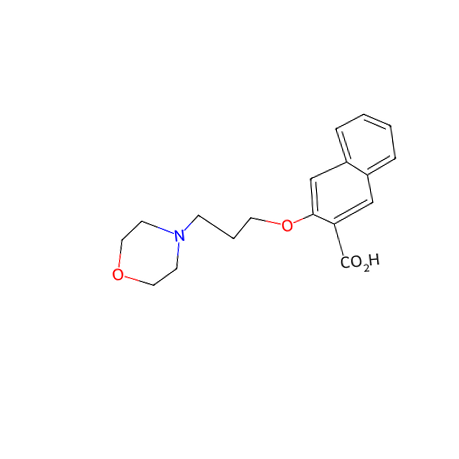 O=C(O)c1cc2ccccc2cc1OCCCN1CCOCC1